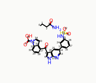 CCCC(N)=O.O=C(c1c[nH]c2ncc(-c3cccc(N[SH](=O)=O)c3)cc12)c1cccc2c1ccn2C(=O)O